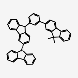 CC1(C)c2ccccc2-c2ccc(-c3cccc(C4c5ccccc5-c5cc(-n6c7ccccc7c7ccccc76)ccc54)c3)cc21